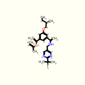 C=C(NCc1cnc(C(C)(C)F)nc1)c1cc(OC[C@H](C)CC)cc(C(=C)S/C(C)=C\C)c1